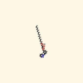 CCCCCCCCCCCCCCCCOCC(COCc1cccc(C[n+]2ccccn2)c1)OC